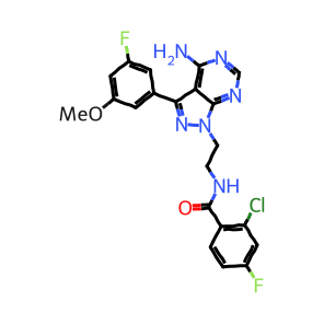 COc1cc(F)cc(-c2nn(CCNC(=O)c3ccc(F)cc3Cl)c3ncnc(N)c23)c1